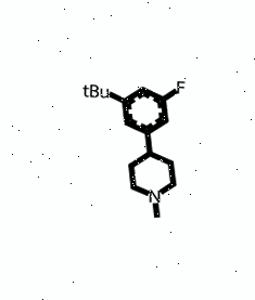 CN1CCC(c2cc(F)cc(C(C)(C)C)c2)CC1